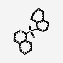 O=S(=O)(c1nccc2ccccc12)c1nccc2ccccc12